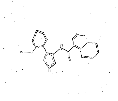 C/N=C\C(C(=O)Nc1c[nH]nc1-c1ccccc1OC(C)C)=C1/CC=CC=N1